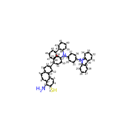 Nc1c(S)ccc2c1ccc1ccc(-c3ccc(N(c4ccc(-n5c6ccccc6c6ccccc65)cc4)c4ccccc4-c4ccccc4)cc3)cc12